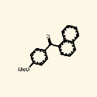 COc1ccc(C(=O)c2cccc3ccccc23)cc1